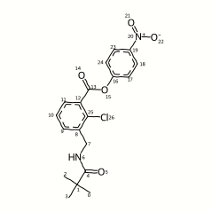 CC(C)(C)C(=O)NCc1cccc(C(=O)Oc2ccc([N+](=O)[O-])cc2)c1Cl